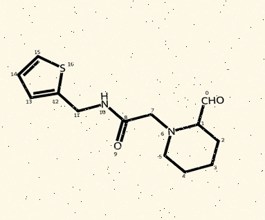 O=CC1CCCCN1CC(=O)NCc1cccs1